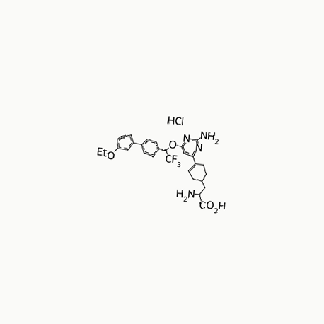 CCOc1cccc(-c2ccc(C(Oc3cc(C4=CCC(CC(N)C(=O)O)CC4)nc(N)n3)C(F)(F)F)cc2)c1.Cl